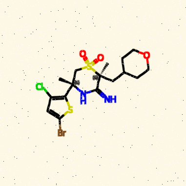 C[C@]1(CC2CCOCC2)C(=N)N[C@](C)(c2sc(Br)cc2Cl)CS1(=O)=O